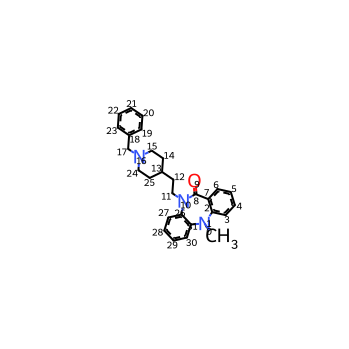 CN1c2ccccc2C(=O)N(CCC2CCN(Cc3ccccc3)CC2)c2ccccc21